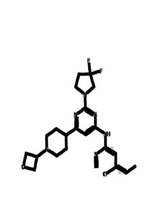 C=N/C(=C\C(Cl)=C/C)Nc1cc(C2CCN(C3COC3)CC2)nc(N2CCC(F)(F)C2)n1